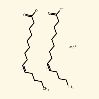 CCCC/C=C\CCCCCCCC(=O)[O-].CCCC/C=C\CCCCCCCC(=O)[O-].[Mg+2]